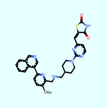 COc1ccc(-c2cncc3ccccc23)nc1CNCC1CCN(c2nccc(C=C3SC(=O)NC3=O)n2)CC1